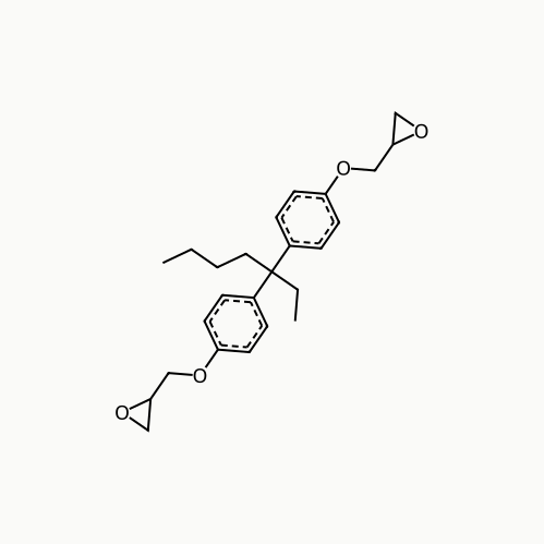 CCCCC(CC)(c1ccc(OCC2CO2)cc1)c1ccc(OCC2CO2)cc1